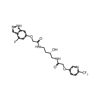 O=C(COc1cc(F)c2cn[nH]c2c1)NCC[C@H](O)CNC(=O)COc1ccc(C(F)(F)F)nc1